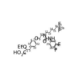 CCOC(Cc1ccc(OCCN(CCCCCC(C)(F)F)C(=O)Nc2ccc(F)c(F)c2)cc1)C(=O)O